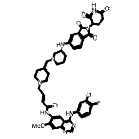 COc1cc2ncnc(Nc3ccc(F)c(Cl)c3)c2cc1NC(=O)/C=C/CN1CCC(CN2CCC[C@@H](Nc3ccc4c(c3)C(=O)N(C3CCC(=O)NC3=O)C4=O)C2)CC1